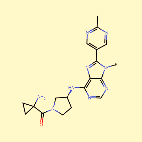 CCn1c(-c2cnc(C)nc2)nc2c(N[C@H]3CCN(C(=O)C4(N)CC4)C3)ncnc21